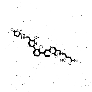 COc1nc(-c2cccc(-c3ccn4c(=O)c(CNC[C@@H](O)CC(N)=O)cnc4c3)c2Cl)ccc1CNC[C@@H]1CCC(=O)N1